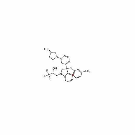 Cc1cccc(CC2(c3cccc(N4CC[C@@H](C)C4)c3)CN(C[C@@H](O)C(F)(F)F)c3ccccc32)c1